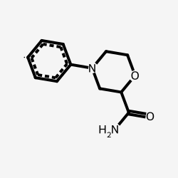 NC(=O)C1CN(c2cc[c]cc2)CCO1